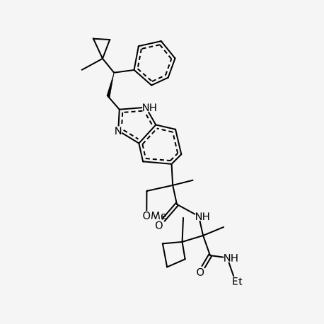 CCNC(=O)C(C)(NC(=O)C(C)(COC)c1ccc2[nH]c(C[C@H](c3ccccc3)C3(C)CC3)nc2c1)C1(C)CCC1